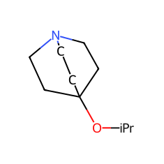 CC(C)OC12CCN(CC1)CC2